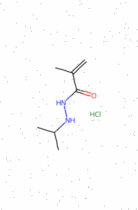 C=C(C)C(=O)NNC(C)C.Cl